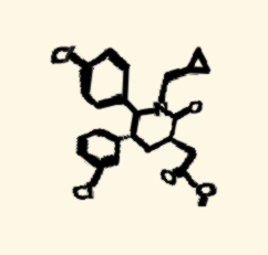 COC(=O)C[C@H]1C[C@H](c2cccc(Cl)c2)C(c2ccc(Cl)cc2)N(CC2CC2)C1=O